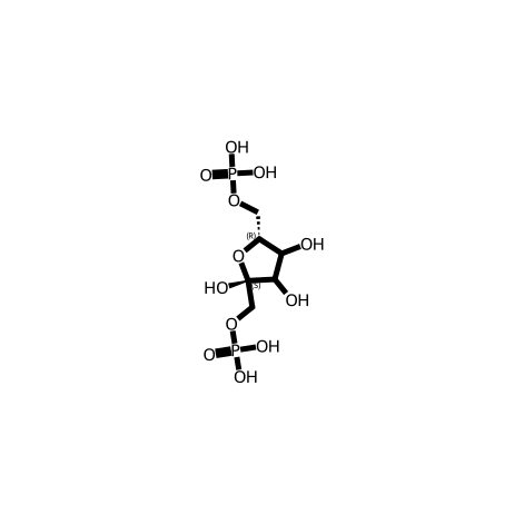 O=P(O)(O)OC[C@H]1O[C@@](O)(COP(=O)(O)O)C(O)C1O